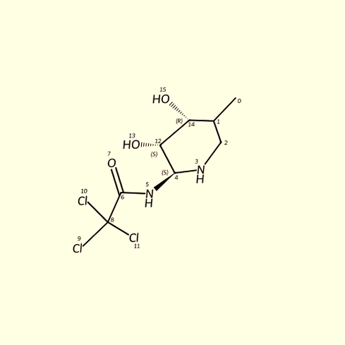 CC1CN[C@@H](NC(=O)C(Cl)(Cl)Cl)[C@H](O)[C@@H]1O